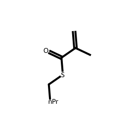 C=C(C)C(=O)SCCCC